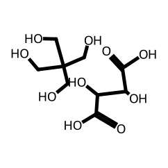 O=C(O)C(O)C(O)C(=O)O.OCC(CO)(CO)CO